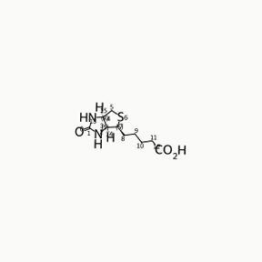 O=C1N[C@H]2[C@H](CS[C@H]2CCCC[14C](=O)O)N1